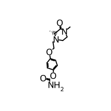 C[C@@H]1C(=O)N(C)CCN1CCOc1ccc(OC(N)=O)cc1